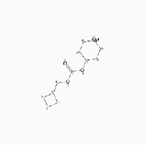 O=C(OCC1CCC1)OC1CCNCC1